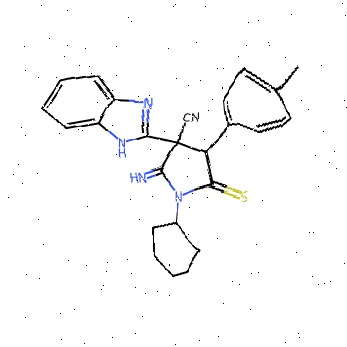 Cc1ccc(C2C(=S)N(C3CCCCC3)C(=N)C2(C#N)c2nc3ccccc3[nH]2)cc1